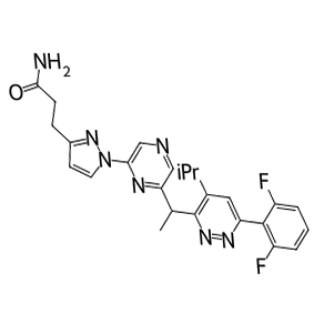 CC(C)c1cc(-c2c(F)cccc2F)nnc1C(C)c1cncc(-n2ccc(CCC(N)=O)n2)n1